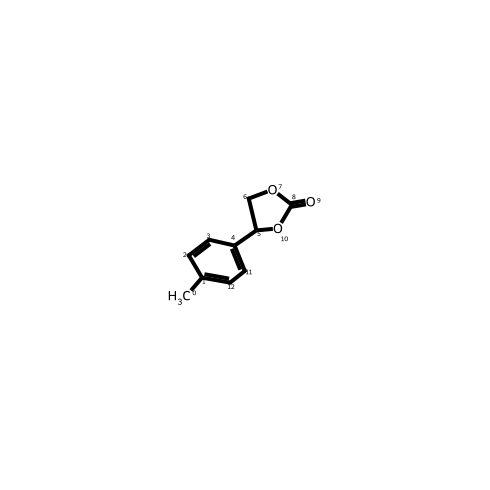 Cc1ccc(C2COC(=O)O2)cc1